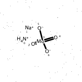 [NH4+].[Na+].[O]=[Mo](=[O])([O-])[O-]